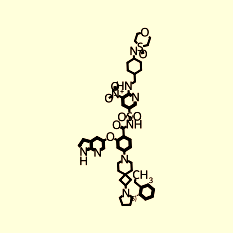 CCc1ccccc1[C@@H]1CCCN1C1CC2(CCN(c3ccc(C(=O)NS(=O)(=O)c4cnc(NCC5CCC(N=S6(=O)CCOCC6)CC5)c([N+](=O)[O-])c4)c(Oc4cnc5[nH]ccc5c4)c3)CC2)C1